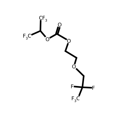 O=C(OCCOCC(F)(F)C(F)(F)F)OC(C(F)(F)F)C(F)(F)F